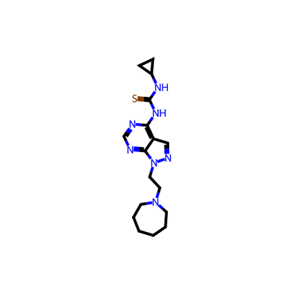 S=C(Nc1ncnc2c1cnn2CCN1CCCCCC1)NC1CC1